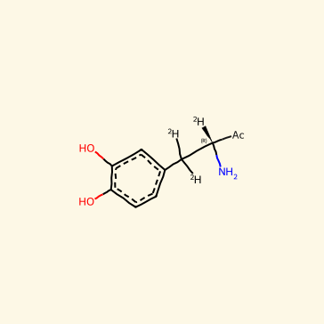 [2H]C([2H])(c1ccc(O)c(O)c1)[C@@]([2H])(N)C(C)=O